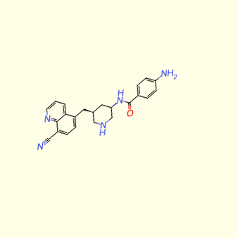 N#Cc1ccc(C[C@@H]2CNC[C@H](NC(=O)c3ccc(N)cc3)C2)c2cccnc12